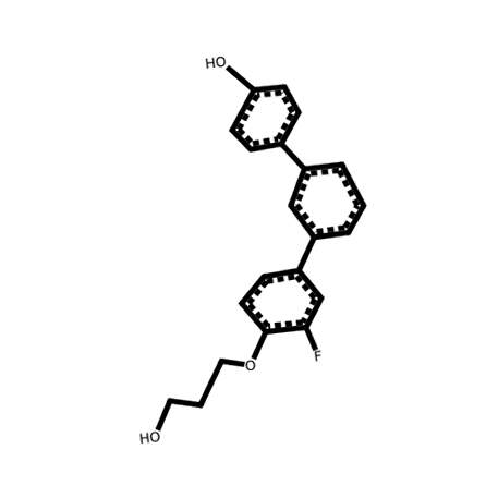 OCCCOc1ccc(-c2cccc(-c3ccc(O)cc3)c2)cc1F